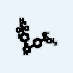 C[S+]([O-])c1ccc(-c2cncn2-c2ccc(S(C)(=O)=O)nc2)cc1